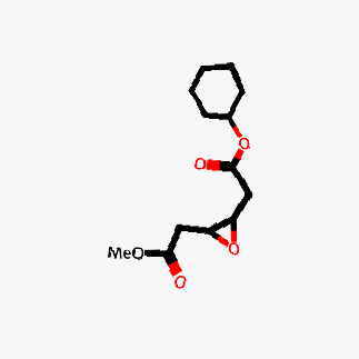 COC(=O)CC1OC1CC(=O)OC1CCCCC1